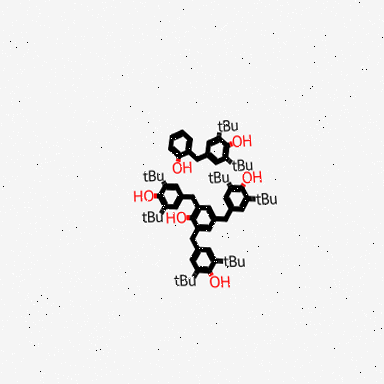 CC(C)(C)c1cc(Cc2cc(Cc3cc(C(C)(C)C)c(O)c(C(C)(C)C)c3)c(O)c(Cc3cc(C(C)(C)C)c(O)c(C(C)(C)C)c3)c2)cc(C(C)(C)C)c1O.CC(C)(C)c1cc(Cc2ccccc2O)cc(C(C)(C)C)c1O